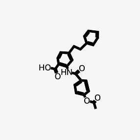 CC(=O)Oc1ccc(C(=O)Nc2cc(CCc3ccccc3)ccc2C(=O)O)cc1